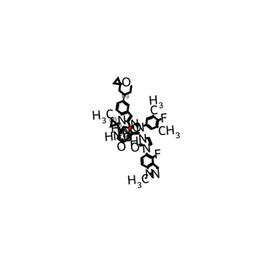 Cc1cc(-n2nc3c(c2-n2ccn(-c4ccc5c(cnn5C)c4F)c2=O)[C@H]2CC[C@@H](C3)N2C(=O)c2cc3cc([C@@H]4CCOC5(CC5)C4)ccc3n2[C@@]2(c3noc(=O)[nH]3)C[C@H]2C)cc(C)c1F